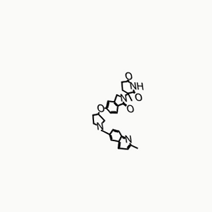 Cc1ccc2cc(CN3CCC(Oc4ccc5c(c4)CN(C4(C)CCC(=O)NC4=O)C5=O)C3)ccc2n1